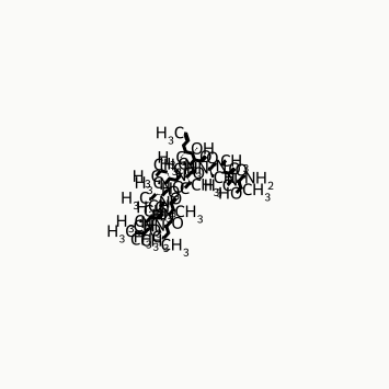 C/C=C\C[C@@H](C)[C@H](O)C(C(=O)N[C@H](CC)C(=O)N(C)CC(=O)N(C)C(C(N)=O)[C@H](C)O)N(C)C(=O)[C@H](C(C)C)N(C)C(=O)[C@@H](CC(C)C)N(C)C(=O)[C@@H](CC(C)C)N(C)C(=O)[C@H](C)NC(=O)C(CC(C)C)NC(=O)[C@H](C)N(C)C(=O)[C@H](C)C(C)(C)C